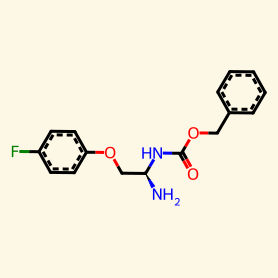 N[C@@H](COc1ccc(F)cc1)NC(=O)OCc1ccccc1